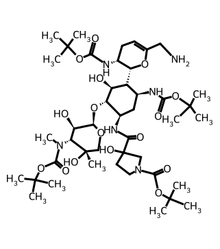 CN(C(=O)OC(C)(C)C)[C@@H]1[C@@H](O)[C@@H](O[C@H]2[C@H](NC(=O)C3(O)CCN(C(=O)OC(C)(C)C)C3)C[C@H](NC(=O)OC(C)(C)C)C([C@H]3OC(CN)=CC[C@H]3NC(=O)OC(C)(C)C)[C@@H]2O)OC[C@]1(C)O